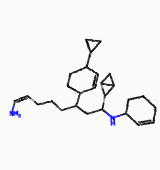 N/C=C\CCCC(CC(NC1C=CCCC1)C1C2CC21)C1C=CC(C2CC2)CC1